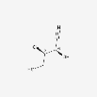 N#C[C@@H](O)[C@H](Cl)CO